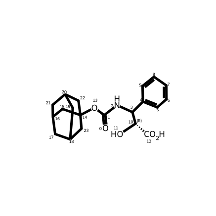 O=C(NC(c1ccccc1)[C@@H](O)C(=O)O)OC12CC3CC(CC(C3)C1)C2